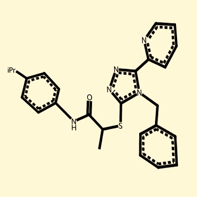 CC(Sc1nnc(-c2ccccn2)n1Cc1ccccc1)C(=O)Nc1ccc(C(C)C)cc1